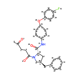 CC(=O)CCC(=O)N1C[C@H](Cc2ccccc2)C[C@H]1C(=O)Nc1ccc(Oc2ccc(F)cc2)cc1